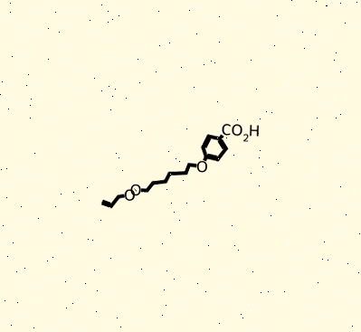 C=CCOOCCCCCCOc1ccc(C(=O)O)cc1